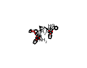 Nc1nnc(-c2ccccc2O)cc1N1CC2CCC(C1)N2c1ccnc(C#CCN2CC(Oc3ccccc3-c3cc(N4CC5CCC(C4)N5c4ccnc(C#CCN5CC6CC5C6)c4)c(N)nn3)C3CC32)c1